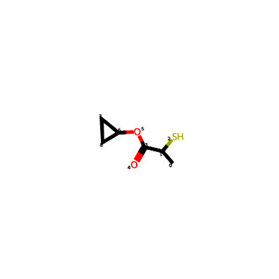 CC(S)C(=O)OC1CC1